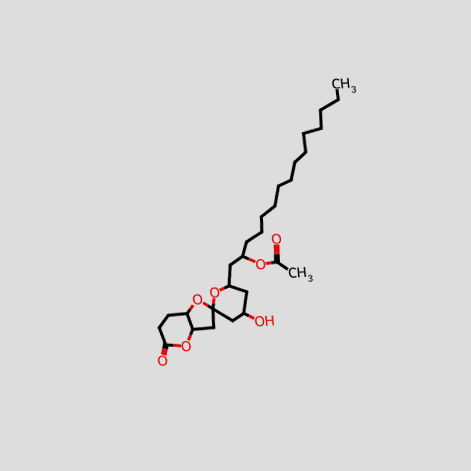 CCCCCCCCCCCCCC(CC1CC(O)CC2(CC3OC(=O)CCC3O2)O1)OC(C)=O